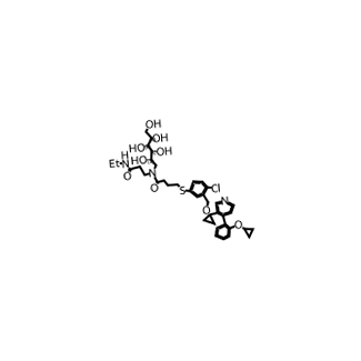 CCNC(=O)CCN(C[C@H](O)[C@@H](O)[C@H](O)[C@H](O)CO)C(=O)CCCSc1ccc(Cl)c(COC2(c3cnccc3-c3ccccc3OC3CC3)CC2)c1